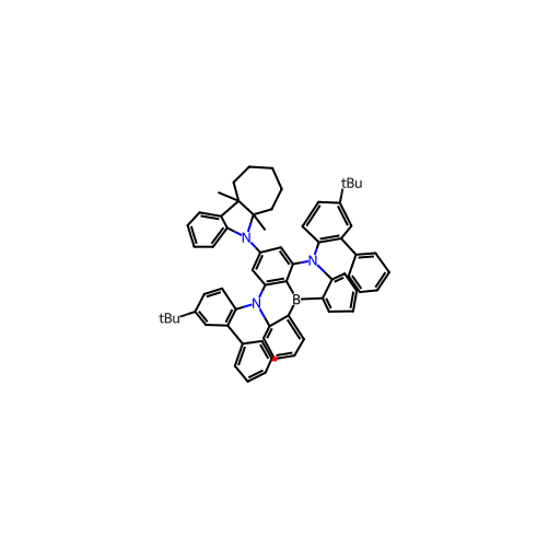 CC(C)(C)c1ccc(N2c3ccccc3B3c4ccccc4N(c4ccc(C(C)(C)C)cc4-c4ccccc4)c4cc(N5c6ccccc6C6(C)CCCCCC56C)cc2c43)c(-c2ccccc2)c1